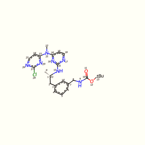 C[C@@H](Cc1cccc(CNC(=O)OC(C)(C)C)c1)Nc1nccc(N(C)c2ccnc(Cl)n2)n1